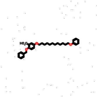 O=C(O)c1cc(OCCCCCCCCCCCCOc2ccccc2)ccc1OCc1ccccc1